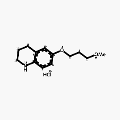 COCCCOc1ccc2c(c1)CCCN2.Cl